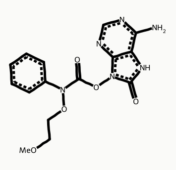 COCCON(C(=O)On1c(=O)[nH]c2c(N)ncnc21)c1ccccc1